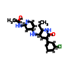 CCc1[nH]c(=O)c(-c2cccc(Cl)c2)cc1Nc1ccnc(NC(C)=O)c1